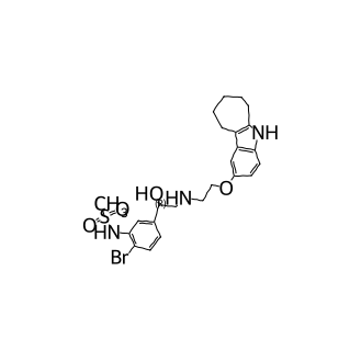 CS(=O)(=O)Nc1cc([C@@H](O)CNCCOc2ccc3[nH]c4c(c3c2)CCCCC4)ccc1Br